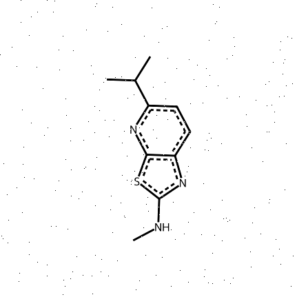 CNc1nc2ccc(C(C)C)nc2s1